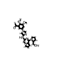 COc1cc(-n2cnc(Nc3nc(N4CCCC4CO)c4cccn4n3)c2)cc(C(C)=O)c1OC